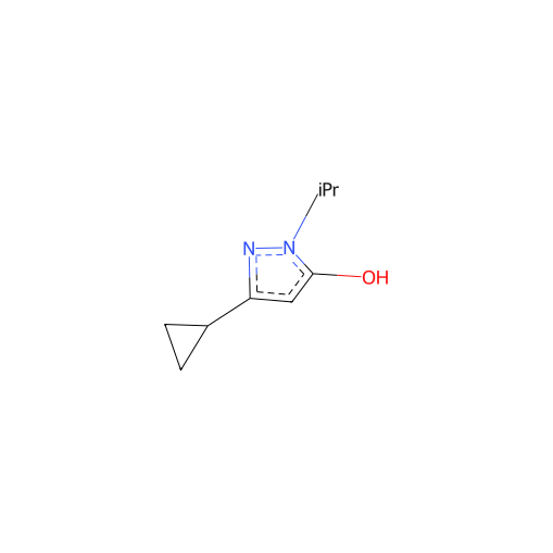 CC(C)n1nc(C2CC2)cc1O